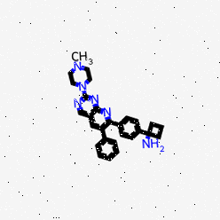 CN1CCN(c2ncc3cc(-c4ccccc4)c(-c4ccc(C5(N)CCC5)cc4)nc3n2)CC1